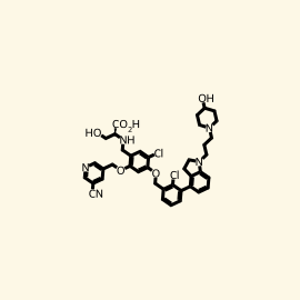 N#Cc1cncc(COc2cc(OCc3cccc(-c4cccc5c4CCN5CCCN4CCC(O)CC4)c3Cl)c(Cl)cc2CN[C@@H](CO)C(=O)O)c1